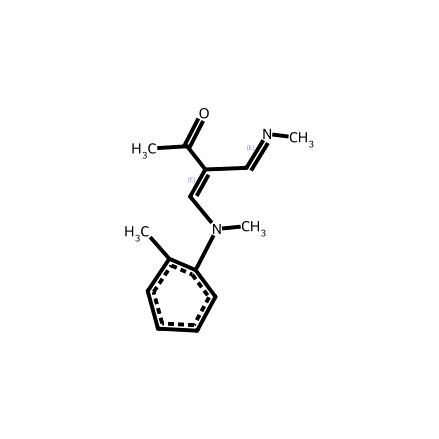 C/N=C/C(=C\N(C)c1ccccc1C)C(C)=O